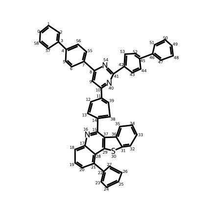 c1ccc(-c2ccc(-c3cc(-c4ccc(-c5nc6cccc(-c7ccccc7)c6c6sc7ccccc7c56)cc4)nc(-c4ccc(-c5ccccc5)cc4)n3)cc2)cc1